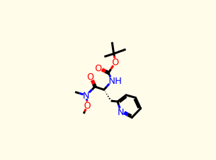 CON(C)C(=O)[C@@H](Cc1ccccn1)NC(=O)OC(C)(C)C